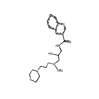 CCCCN(CCCN1CCOCC1)CC(O)CNC(=O)c1cnc2ccccc2c1